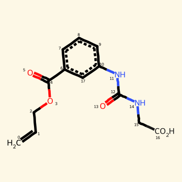 C=CCOC(=O)c1cccc(NC(=O)NCC(=O)O)c1